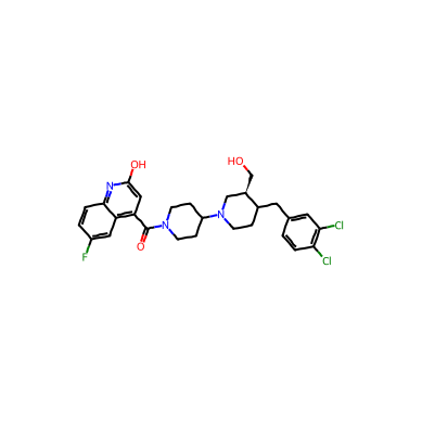 O=C(c1cc(O)nc2ccc(F)cc12)N1CCC(N2CCC(Cc3ccc(Cl)c(Cl)c3)[C@H](CO)C2)CC1